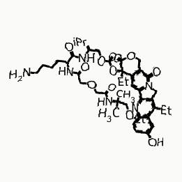 CCOCC(C)(C)NC(=O)COCC(=O)NC(CCCCN)C(=O)NC(COC(=O)OC1(CC)C(=O)OCc2c1cc1n(c2=O)Cc2c-1nc1ccc(O)cc1c2CC)C(C)C